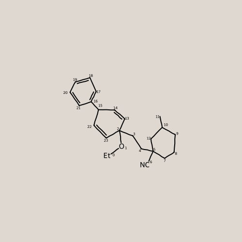 CCOC1(CCC2(C#N)CCCC(C)C2)C=CC(c2ccccc2)C=C1